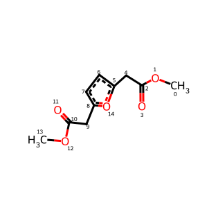 COC(=O)Cc1ccc(CC(=O)OC)o1